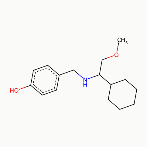 COCC(NCc1ccc(O)cc1)C1CCCCC1